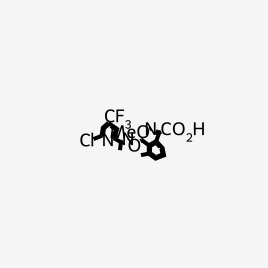 CO/N=C(/C(=O)O)c1cccc(C)c1CO/N=C(\C)c1cc(C(F)(F)F)cc(Cl)n1